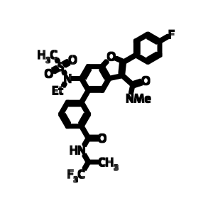 CCN(c1cc2oc(-c3ccc(F)cc3)c(C(=O)NC)c2cc1-c1cccc(C(=O)NC(C)C(F)(F)F)c1)S(C)(=O)=O